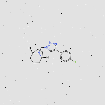 Fc1ccc(-c2cn(CN3[C@@H]4CCC[C@H]3CC4)nn2)cc1